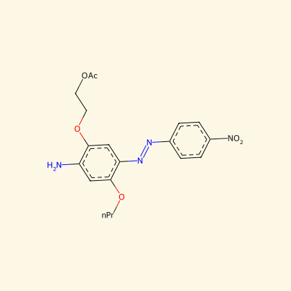 CCCOc1cc(N)c(OCCOC(C)=O)cc1/N=N/c1ccc([N+](=O)[O-])cc1